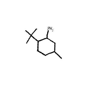 CC1CCC(C(C)(C)C)C(P)C1